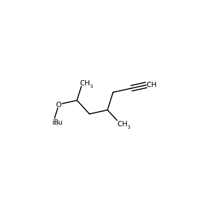 C#CCC(C)CC(C)OC(C)CC